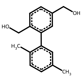 Cc1ccc(C)c(-c2cc(CO)ccc2CO)c1